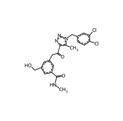 CNC(=O)c1cc(CO)cc(CC(=O)c2nnn(Cc3ccc(Cl)c(Cl)c3)c2C)c1